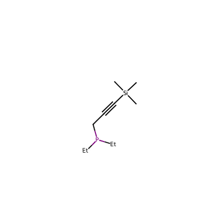 CCP(CC)CC#C[Si](C)(C)C